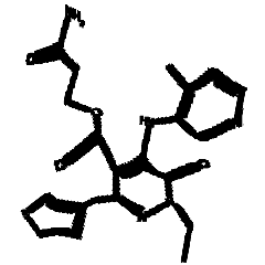 CCn1nc(-c2ccsc2)c(C(=O)OCCC(N)=O)c(Nc2cnccc2C)c1=O